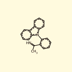 CC(=N)c1ccccc1-n1c2ccccc2c2ccccc21